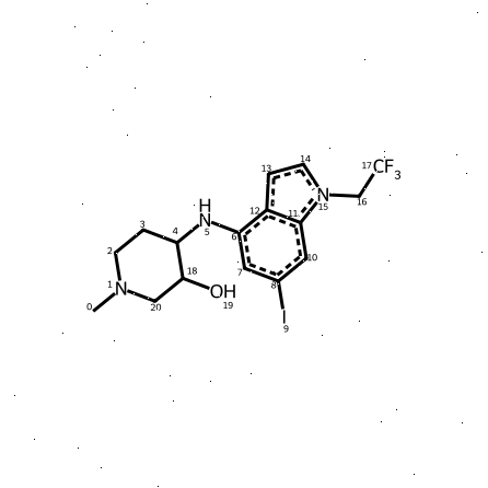 CN1CCC(Nc2cc(I)cc3c2ccn3CC(F)(F)F)C(O)C1